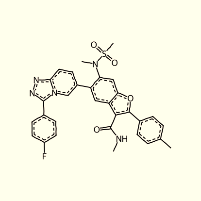 CNC(=O)c1c(-c2ccc(C)cc2)oc2cc(N(C)S(C)(=O)=O)c(-c3ccc4nnc(-c5ccc(F)cc5)n4c3)cc12